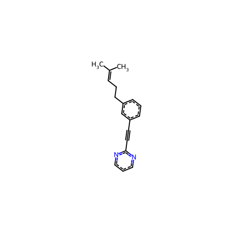 CC(C)=CCCc1cccc(C#Cc2ncccn2)c1